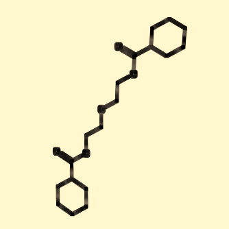 O=C(OCCOCCOC(=O)C1CCCCC1)C1CCCCC1